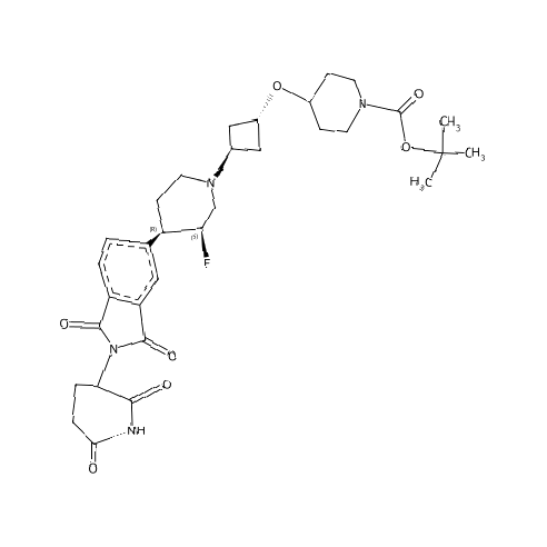 CC(C)(C)OC(=O)N1CCC(O[C@H]2C[C@H](N3CC[C@H](c4ccc5c(c4)C(=O)N(C4CCC(=O)NC4=O)C5=O)[C@H](F)C3)C2)CC1